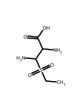 CCS(=O)(=O)C(N)C(N)C(=O)O